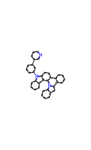 c1cncc(-c2cccc(-n3c4ccccc4c4c3ccc3c5ccccc5c5cc6ccccc6n5c34)c2)c1